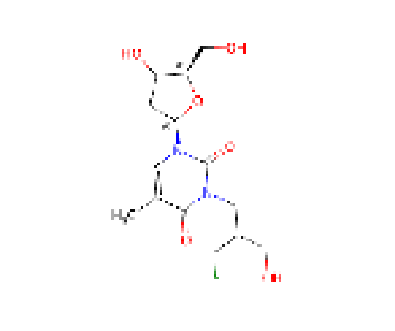 Cc1cn([C@H]2CC(O)[C@@H](CO)O2)c(=O)n(CC(CO)CF)c1=O